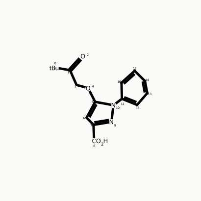 CC(C)(C)C(=O)COc1cc(C(=O)O)nn1-c1ccccc1